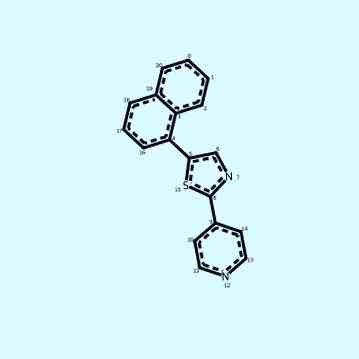 c1ccc2c(-c3cnc(-c4ccncc4)s3)cccc2c1